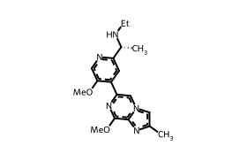 CCN[C@H](C)c1cc(-c2cn3cc(C)nc3c(OC)n2)c(OC)cn1